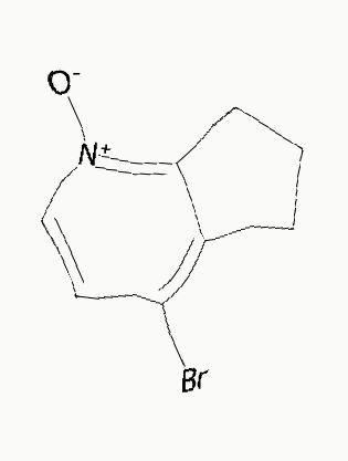 [O-][n+]1ccc(Br)c2c1CCC2